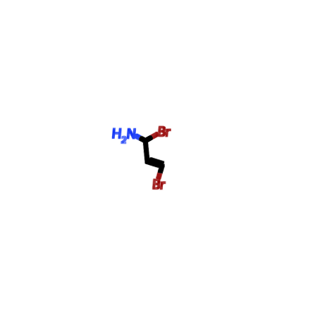 NC(Br)C=CBr